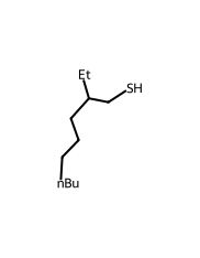 CCCCCCCC(CC)CS